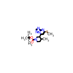 CSc1cc(C2CN(C(=O)OC(C)(C)C)CCC2C)n2ncnc2n1